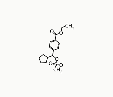 CCOC(=O)c1ccc(C(OS(C)(=O)=O)C2CCCC2)cc1